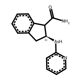 NC(=O)C1c2cc[c]cc2C[C@@H]1[AsH]c1ccccn1